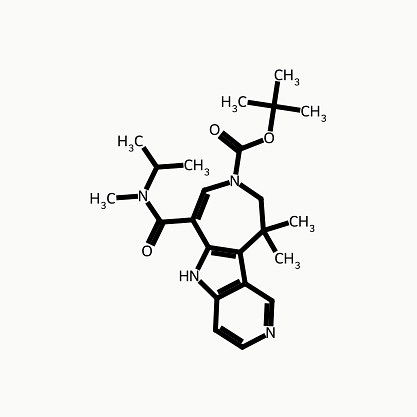 CC(C)N(C)C(=O)C1=CN(C(=O)OC(C)(C)C)CC(C)(C)c2c1[nH]c1ccncc21